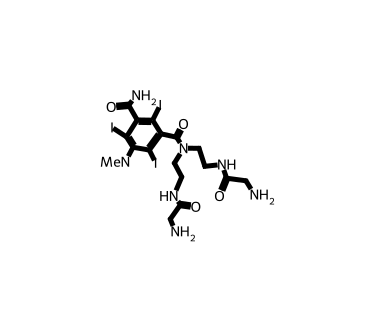 CNc1c(I)c(C(N)=O)c(I)c(C(=O)N(CCNC(=O)CN)CCNC(=O)CN)c1I